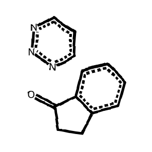 O=C1CCc2ccccc21.c1cnnnc1